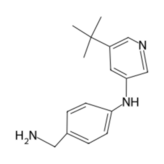 CC(C)(C)c1cncc(Nc2ccc(CN)cc2)c1